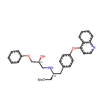 COC[C@H](Cc1ccc(Oc2ccnc3ccccc23)cc1)NC[C@H](O)COc1ccccc1